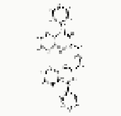 O=C(C=C(c1ccccc1)c1ccccc1)[CH2][Pd][CH2]C(=O)C=C(c1ccccc1)c1ccccc1